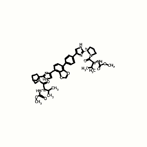 COC(=O)N[C@H](C(=O)N1CCC[C@H]1c1nc(-c2ccc(-c3ccc(-c4c[nH]c(C56CCC(CN5C(=O)[C@@H](NC(=O)OC)C(C)C)C6)n4)c4c3OCO4)cc2)c[nH]1)C(C)C